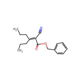 CCCC(CCC)=C(C#N)C(=O)OCc1ccccc1